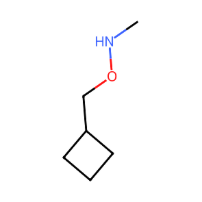 CNOCC1CCC1